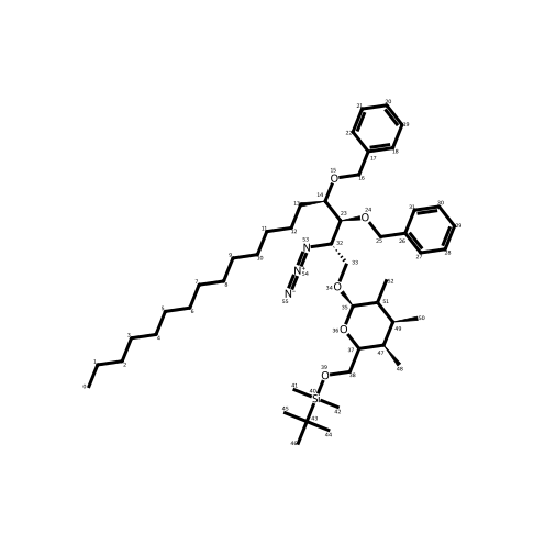 CCCCCCCCCCCCCC[C@@H](OCc1ccccc1)[C@@H](OCc1ccccc1)[C@H](CO[C@@H]1OC(CO[Si](C)(C)C(C)(C)C)[C@H](C)[C@H](C)C1C)N=[N+]=[N-]